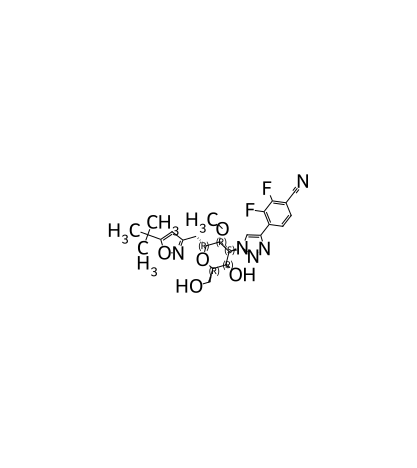 CO[C@@H]1[C@@H](n2cc(-c3ccc(C#N)c(F)c3F)nn2)[C@@H](O)[C@@H](CO)O[C@@H]1Cc1cc(C(C)(C)C)on1